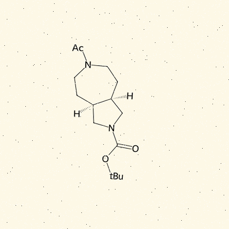 CC(=O)N1CC[C@@H]2CN(C(=O)OC(C)(C)C)C[C@@H]2CC1